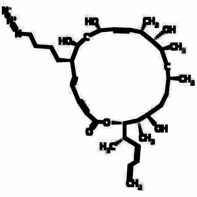 C=C/C=C\[C@H](C)[C@@H]1OC(=O)/C=C\C=C\[C@@H](CCCCN=[N+]=[N-])[C@@H](O)C[C@H](O)/C=C\[C@H](C)[C@H](O)[C@@H](C)C[C@@H](C)CC[C@@H](O)[C@@H]1C